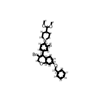 COC(OC)C1CCN(c2ccc(C3=C(Br)COc4cc(OCc5ccccc5)ccc43)cc2F)CC1